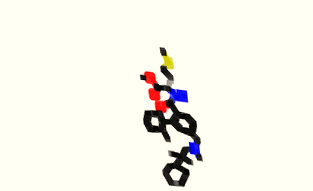 COC(=O)[C@H](CCSC)NC(=O)c1ccc(CN(C)CC(C)(C)C2CCCCC2)cc1-c1ccccc1C